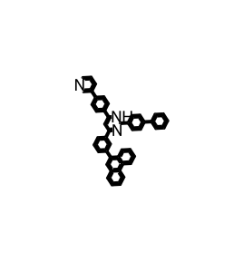 C1=C(c2ccc(-c3cccnc3)cc2)NC(c2ccc(-c3ccccc3)cc2)N=C1c1cccc(-c2cc3ccccc3c3ccccc23)c1